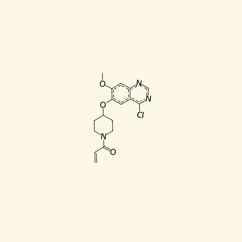 C=CC(=O)N1CCC(Oc2cc3c(Cl)ncnc3cc2OC)CC1